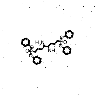 NC(CCCP(=O)(Oc1ccccc1)Oc1ccccc1)C(N)CCCP(=O)(Oc1ccccc1)Oc1ccccc1